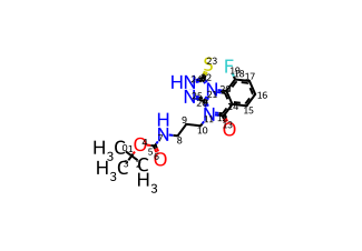 CC(C)(C)OC(=O)NCCCn1c(=O)c2cccc(F)c2n2c(=S)[nH]nc12